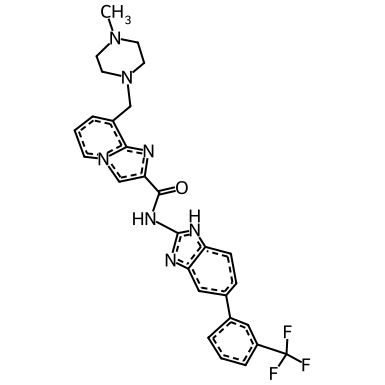 CN1CCN(Cc2cccn3cc(C(=O)Nc4nc5cc(-c6cccc(C(F)(F)F)c6)ccc5[nH]4)nc23)CC1